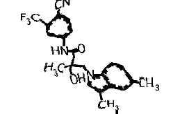 Cc1ccc2c(c1)c(C)cn2C[C@](C)(O)C(=O)Nc1ccc(C#N)c(C(F)(F)F)c1